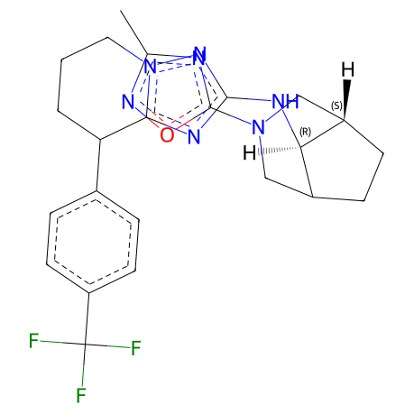 Cc1noc(N2CC3CC[C@@H](C2)[C@@H]3Nc2nc3n(n2)CCCC3c2ccc(C(F)(F)F)cc2)n1